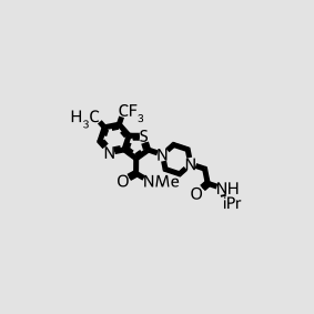 CNC(=O)c1c(N2CCN(CC(=O)NC(C)C)CC2)sc2c(C(F)(F)F)c(C)cnc12